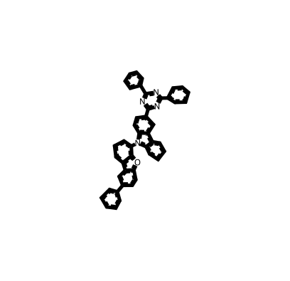 c1ccc(-c2ccc3oc4c(-n5c6ccccc6c6cc(-c7nc(-c8ccccc8)nc(-c8ccccc8)n7)ccc65)cccc4c3c2)cc1